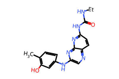 CCNC(=O)Nc1ccc2ncc(Nc3ccc(C)c(O)c3)nc2n1